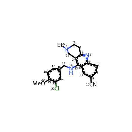 CCN1CCc2nc3ccc(C#N)cc3c(NCc3ccc(OC)c(Cl)c3)c2C1